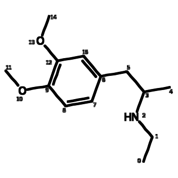 CCNC(C)Cc1ccc(OC)c(OC)c1